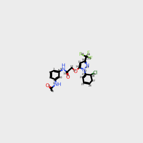 CC(=O)Nc1cccc(NC(=O)COc2cc(C(F)(F)F)nn2C2=CC=CCC2Cl)c1